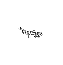 C[C@H]1CN(C2COC2)CCN1c1ccc(Nc2cc(-c3ccnc(N4CCn5c(cc6c5CCCC6)C4=O)c3C3(O)COC3)cn(C)c2=O)nc1